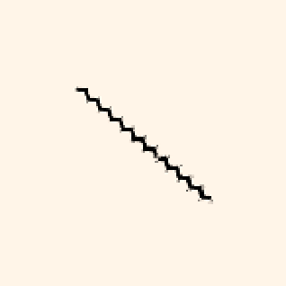 CCCCCCCCCCCCC[CH]SCCCCCCCCC